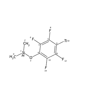 C[SiH](C)Oc1c(F)c(F)[c]([Ti])c(F)c1F